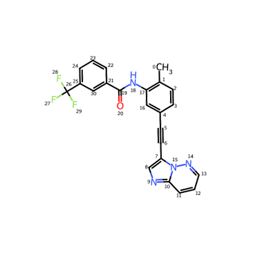 Cc1ccc(C#Cc2cnc3cccnn23)cc1NC(=O)c1cccc(C(F)(F)F)c1